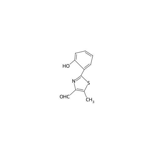 Cc1sc(-c2ccccc2O)nc1C=O